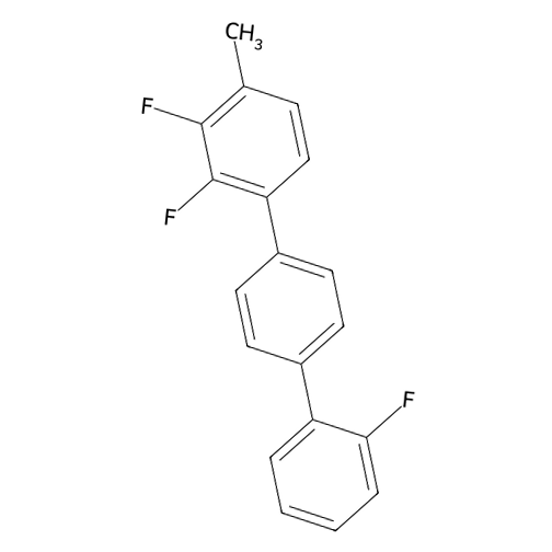 Cc1ccc(-c2ccc(-c3ccccc3F)cc2)c(F)c1F